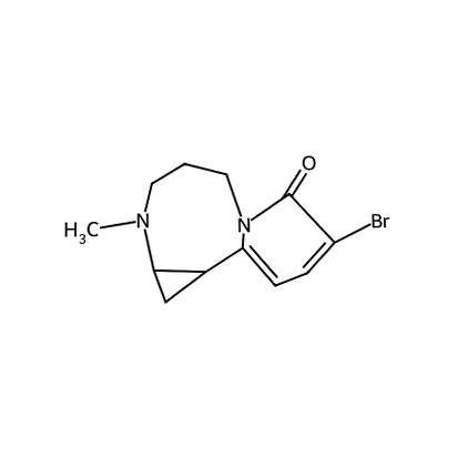 CN1CCCn2c(ccc(Br)c2=O)C2CC21